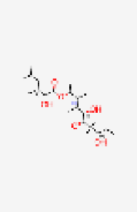 CC[C@H](O)C(C)(C)C(=O)[C@H](O)/C(C)=C(\C)C(C)OC(=O)C(O)[C@@H](C)CC(C)C